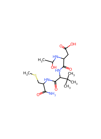 CSCC(NC(=O)C(NC(=O)C(CC(=O)O)NC(C)O)C(C)(C)C)C(N)=O